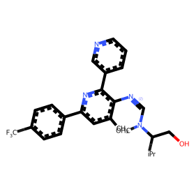 Cc1cc(-c2ccc(C(F)(F)F)cc2)nc(-c2cccnc2)c1/N=C\N(C=O)C(CO)C(C)C